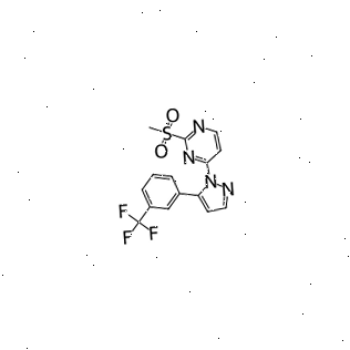 CS(=O)(=O)c1nccc(-n2nccc2-c2cccc(C(F)(F)F)c2)n1